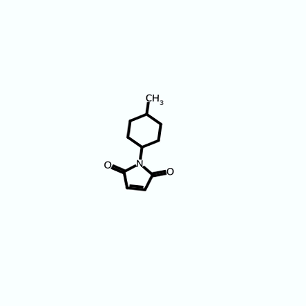 CC1CCC(N2C(=O)C=CC2=O)CC1